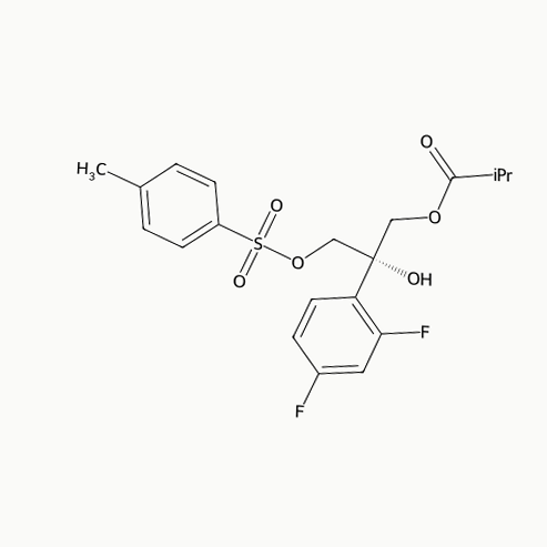 Cc1ccc(S(=O)(=O)OC[C@@](O)(COC(=O)C(C)C)c2ccc(F)cc2F)cc1